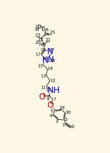 C#Cc1ccc(OCC(=O)NCCCCCn2cc(C(C)(C)C(C)C(C)C(C)C)nn2)cc1